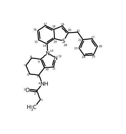 CCC(=O)NC1CCCc2c1cnn2-c1cccc2cc(Cc3ccccc3)sc12